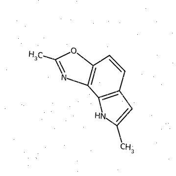 Cc1cc2ccc3oc(C)nc3c2[nH]1